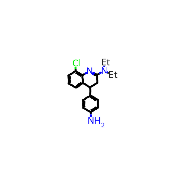 CCN(CC)C1=Nc2c(Cl)cccc2C(c2ccc(N)cc2)C1